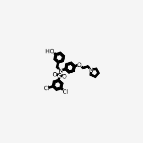 O=S(=O)(c1cc(Cl)cc(Cl)c1)N(Cc1cccc(O)c1)c1ccc(OCCN2CCCC2)cc1